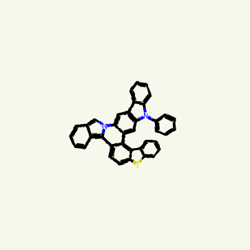 c1ccc(-n2c3ccccc3c3cc4c(cc32)c2c(ccc3sc5ccccc5c32)c2c3ccccc3cn42)cc1